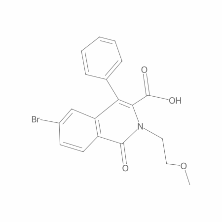 COCCn1c(C(=O)O)c(-c2ccccc2)c2cc(Br)ccc2c1=O